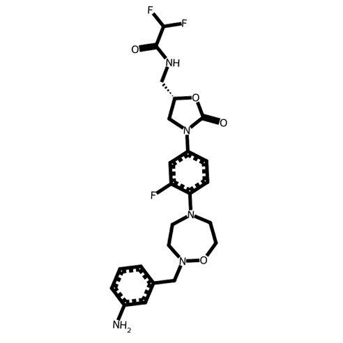 Nc1cccc(CN2CCN(c3ccc(N4C[C@H](CNC(=O)C(F)F)OC4=O)cc3F)CCO2)c1